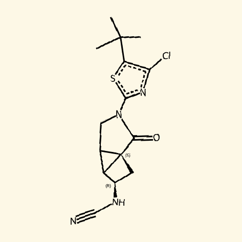 CC(C)(C)c1sc(N2CC3C4[C@H](NC#N)C[C@]34C2=O)nc1Cl